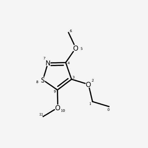 CCOc1c(OC)nsc1OC